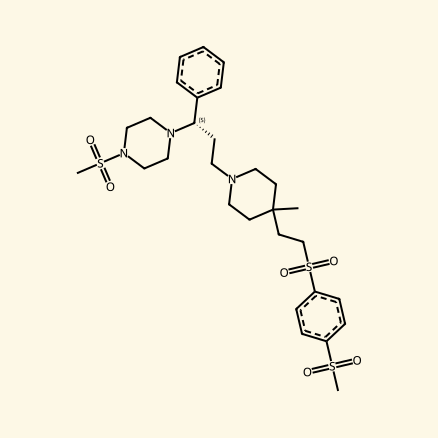 CC1(CCS(=O)(=O)c2ccc(S(C)(=O)=O)cc2)CCN(CC[C@@H](c2ccccc2)N2CCN(S(C)(=O)=O)CC2)CC1